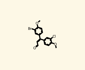 COc1ccc(/C(=C\C=O)c2ccc(OC)c(Br)c2)cc1Cl